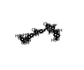 COc1cc(NNc2ccc3c(S(=O)(=O)O)cccc3c2S(=O)(=O)O)c(NC(C)=O)cc1Nc1nc(Cl)nc(NCCN2CCN(c3nc(Cl)nc(Nc4ccc5c(O)c(/N=N/c6cc(S(=O)(=O)O)ccc6S(=O)(=O)O)c(S(=O)(=O)O)cc5c4)n3)CC2)n1